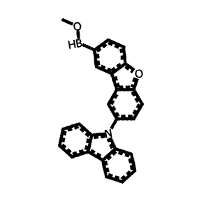 COBc1ccc2oc3ccc(-n4c5ccccc5c5ccccc54)cc3c2c1